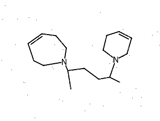 CC(CCC(C)N1CCC=CCC1)N1CC=CCC1